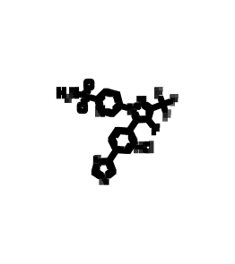 Cl.NS(=O)(=O)c1ccc(-n2nc(C(F)(F)F)c(F)c2-c2ccc(-c3cncs3)cc2)cn1